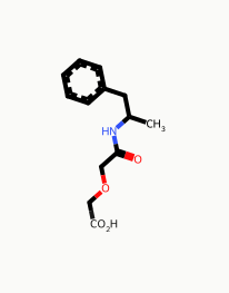 CC(Cc1ccccc1)NC(=O)COCC(=O)O